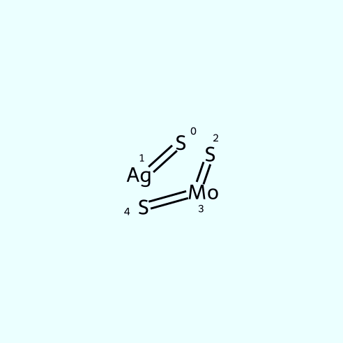 [S]=[Ag].[S]=[Mo]=[S]